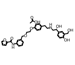 CC(=O)O.O=C(Nc1cccc(COCCOc2ccc(CCNC[C@H](O)c3ccc(O)c(CO)c3)cc2)c1)c1ccco1